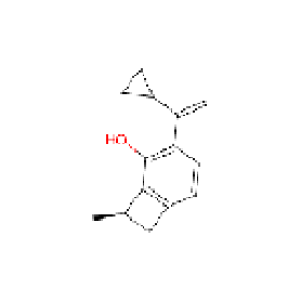 C=C(c1ccc2c(c1O)[C@H](C)C2)C1CC1